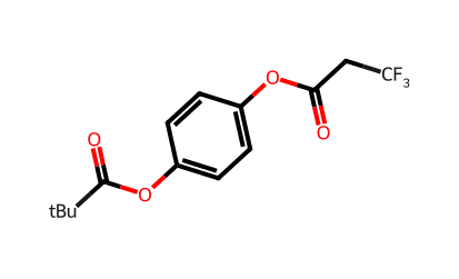 CC(C)(C)C(=O)Oc1ccc(OC(=O)CC(F)(F)F)cc1